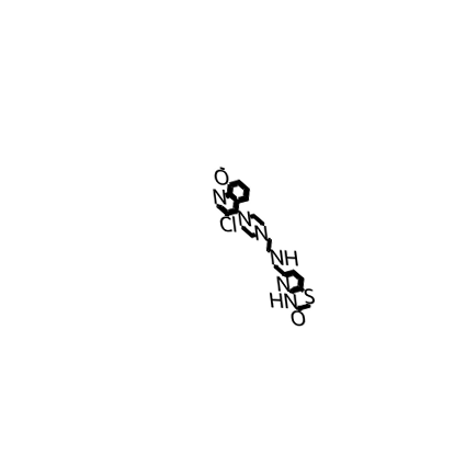 COc1cccc2c(N3CCN(CCNCc4ccc5c(n4)NC(=O)CS5)CC3)c(Cl)cnc12